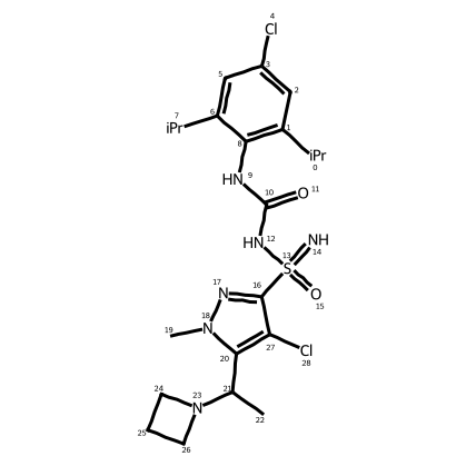 CC(C)c1cc(Cl)cc(C(C)C)c1NC(=O)NS(=N)(=O)c1nn(C)c(C(C)N2CCC2)c1Cl